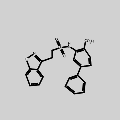 O=C(O)c1ccc(-c2ccccc2)cc1NS(=O)(=O)CCc1noc2ccccc12